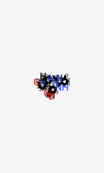 Cc1cccc2c(Nc3ccc4c(c3)OCO4)nc(CN3C[C@@H]4C[C@@H](C3)c3cccc(=O)n3C4)nc12